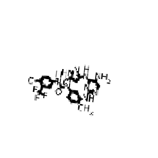 Cc1cc(Nc2nc(Nc3cc(NC(=O)Nc4ccc(Cl)c(C(F)(F)F)c4)ccc3C)ncc2N)n[nH]1